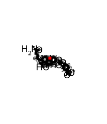 C[C@H](CCC(N)=O)[C@H]1CC[C@H]2[C@@H]3[C@H](O)C[C@@H]4C[C@H](OC(=O)Oc5ccc([N+](=O)[O-])cc5)CC[C@]4(C)[C@H]3CC[C@]12C